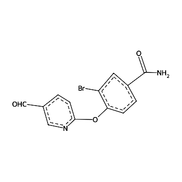 NC(=O)c1ccc(Oc2ccc(C=O)cn2)c(Br)c1